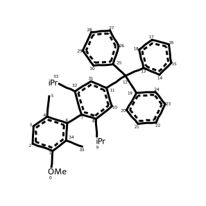 COc1ccc(C)c(-c2c(C(C)C)cc(C(c3ccccc3)(c3ccccc3)c3ccccc3)cc2C(C)C)c1C